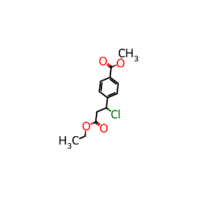 CCOC(=O)CC(Cl)c1ccc(C(=O)OC)cc1